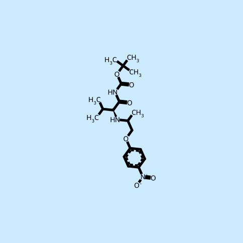 CC(COc1ccc([N+](=O)[O-])cc1)N[C@H](C(=O)NC(=O)OC(C)(C)C)C(C)C